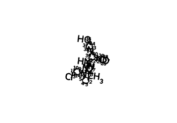 Cc1ccccc1N(c1cccc(Cl)c1)c1ccnc(Nc2cc(N3CCOCC3)cc(N3CCC(O)CC3)c2)n1